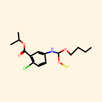 CCCCOC(Nc1ccc(Cl)c(C(=O)OC(C)C)c1)OS